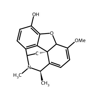 COC1=CC=C2[C@@H](C)N(C)C3C[C@@]24c2c3ccc(O)c2OC14